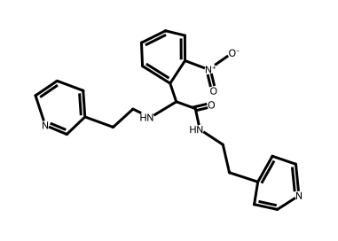 O=C(NCCc1ccncc1)C(NCCc1cccnc1)c1ccccc1[N+](=O)[O-]